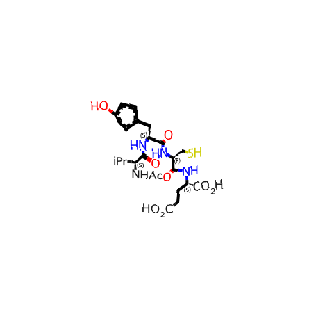 CC(=O)N[C@H](C(=O)N[C@@H](Cc1ccc(O)cc1)C(=O)N[C@@H](CS)C(=O)N[C@@H](CCC(=O)O)C(=O)O)C(C)C